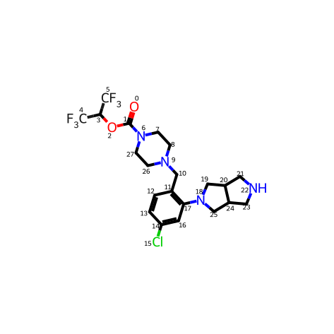 O=C(OC(C(F)(F)F)C(F)(F)F)N1CCN(Cc2ccc(Cl)cc2N2CC3CNCC3C2)CC1